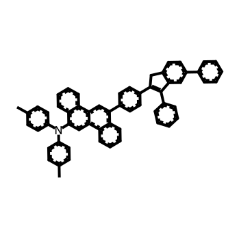 Cc1ccc(N(c2ccc(C)cc2)c2cc3c4ccccc4c(-c4ccc(C5=C(c6ccccc6)c6cc(-c7ccccc7)ccc6C5)cc4)cc3c3ccccc23)cc1